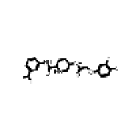 O=C(COc1ccc(Cl)c(F)c1)NC1CCC(C(=O)Nc2cccc(C(F)F)c2)NC1